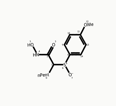 CCCCCC(C(=O)NO)[S+]([O-])c1ccc(OC)cc1